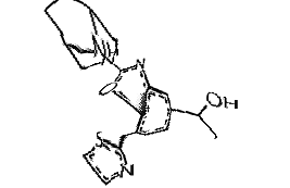 CC(O)c1cc(-c2nccs2)c2oc(N3CC4CCC(C3)N4)nc2c1